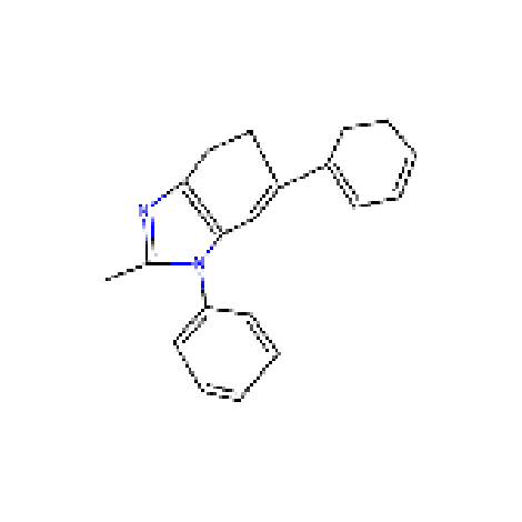 Cc1nc2c(n1-c1ccccc1)C=C(C1=CC=CCC1)CC2